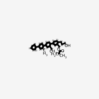 C=C(C)C(=O)OCc1cc(-c2ccc(-c3ccc(-c4ccccc4)cc3C)cc2CC)ccc1CCCO